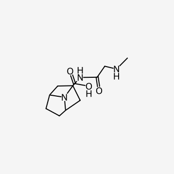 CNCC(=O)NC1CC2CCC(C1)N2C(=O)O